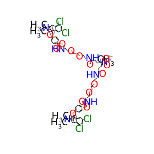 CN(C)[C@H]1Cc2c(Cl)cc(Cl)cc2[C@@H]1Oc1ccc(S(=O)(=O)NCCOCCOCCNC(=O)CCC(C)(CCC(=O)NCCOCCOCCNS(=O)(=O)c2ccc(O[C@H]3c4cc(Cl)cc(Cl)c4C[C@@H]3N(C)C)cc2)[N+](=O)[O-])cc1